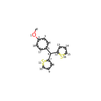 COc1ccc([C](c2cccs2)c2cccs2)cc1